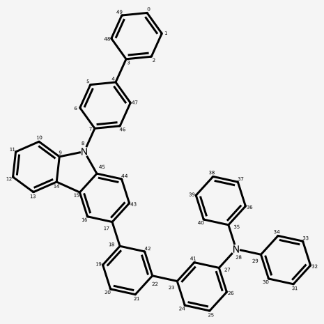 c1ccc(-c2ccc(-n3c4ccccc4c4cc(-c5cccc(-c6cccc(N(c7ccccc7)c7ccccc7)c6)c5)ccc43)cc2)cc1